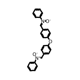 [O-][N+](=Cc1ccc(Oc2ccc(C=[N+]([O-])c3ccccc3)cc2)cc1)c1ccccc1